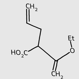 C=CCC(C(=C)OCC)C(=O)O